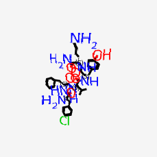 CC(C)[C@H](NC(=O)[C@H](Cc1ccccc1)NC(=O)[C@@H](N)Cc1ccc(Cl)cc1)C(=O)N[C@@H](Cc1ccc(O)cc1)C(=O)N[C@@H](CCCCN)C(N)=O